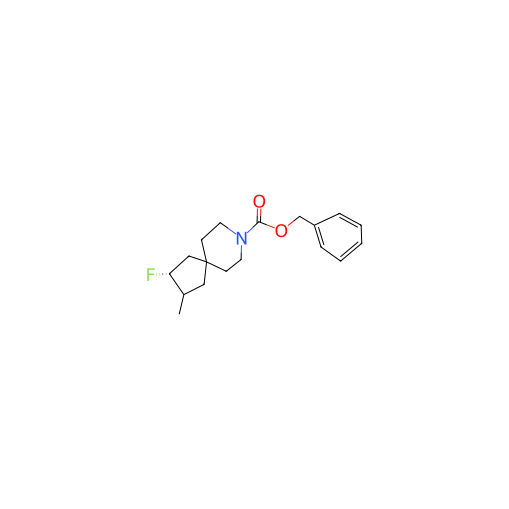 CC1CC2(CCN(C(=O)OCc3ccccc3)CC2)C[C@H]1F